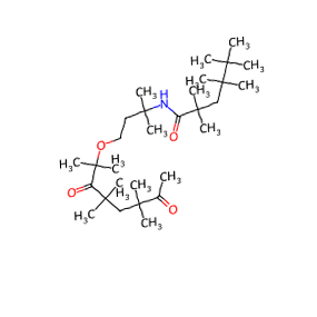 CC(=O)C(C)(C)CC(C)(C)C(=O)C(C)(C)OCCC(C)(C)NC(=O)C(C)(C)CC(C)(C)C(C)(C)C